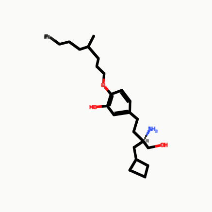 CC(C)CCCC(C)CCCOc1ccc(CC[C@@](N)(CO)CC2CCC2)cc1O